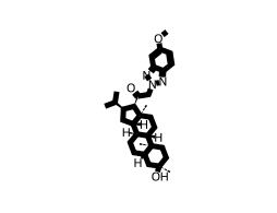 COc1ccc2nn(CC(=O)[C@H]3[C@H](C(C)C)C[C@H]4[C@@H]5CC[C@H]6C[C@](C)(O)CC[C@]6(C)[C@H]5CC[C@@]43C)nc2c1